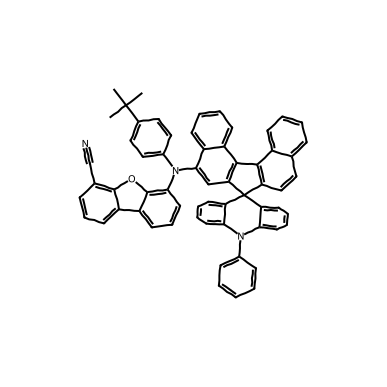 CC(C)(C)c1ccc(N(c2cc3c(c4ccccc24)-c2c(ccc4ccccc24)C32c3ccccc3N(c3ccccc3)c3ccccc32)c2cccc3c2oc2c(C#N)cccc23)cc1